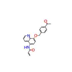 C=CC(=O)Nc1ccc(OCc2ccc(C(C)=O)cc2)c2ncccc12